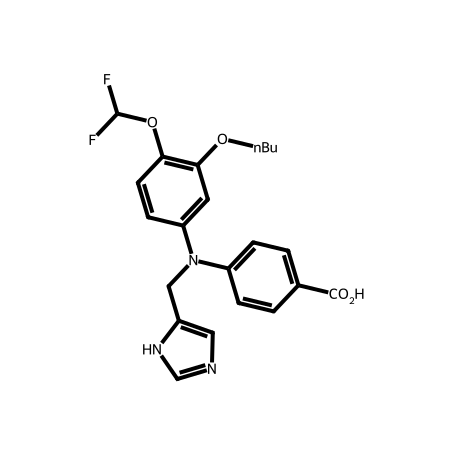 CCCCOc1cc(N(Cc2cnc[nH]2)c2ccc(C(=O)O)cc2)ccc1OC(F)F